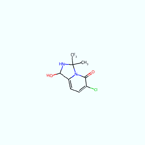 CC1(C(F)(F)F)NC(O)c2ccc(Cl)c(=O)n21